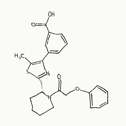 Cc1sc([C@H]2CCCCN2C(=O)COc2ccccc2)nc1-c1cccc(C(=O)O)c1